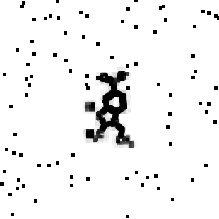 CCN1c2ccc([N+](=O)[O-])cc2SC1C.I